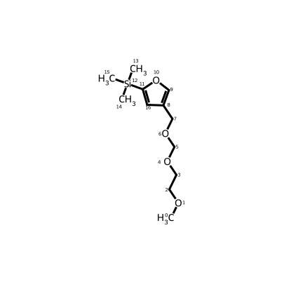 COCCOCOCc1coc([Si](C)(C)C)c1